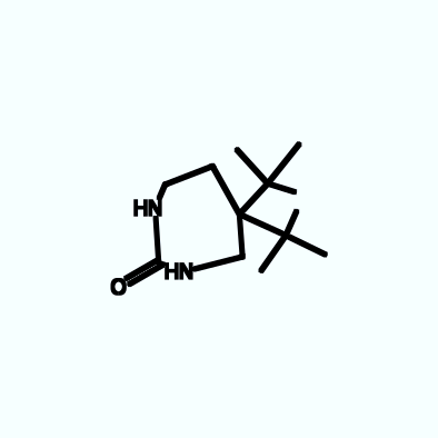 CC(C)(C)C1(C(C)(C)C)CCNC(=O)NC1